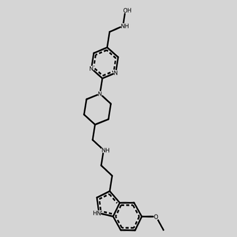 COc1ccc2[nH]cc(CCNCC3CCN(c4ncc(CNO)cn4)CC3)c2c1